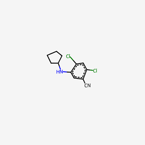 N#Cc1cc(NC2CCCC2)c(Cl)cc1Cl